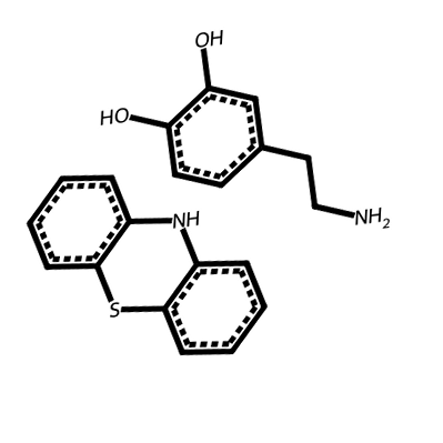 NCCc1ccc(O)c(O)c1.c1ccc2c(c1)Nc1ccccc1S2